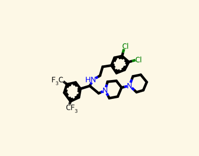 FC(F)(F)c1cc(C(CN2CCC(N3CCCCC3)CC2)NCCc2ccc(Cl)c(Cl)c2)cc(C(F)(F)F)c1